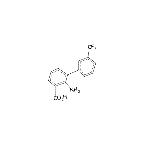 Nc1c(C(=O)O)cccc1-c1cccc(C(F)(F)F)c1